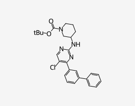 CC(C)(C)OC(=O)N1CCCC(Nc2ncc(Cl)c(-c3cccc(-c4ccccc4)c3)n2)C1